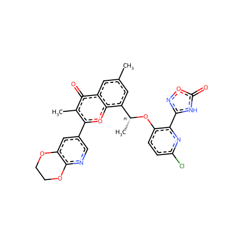 Cc1cc([C@@H](C)Oc2ccc(Cl)nc2-c2noc(=O)[nH]2)c2oc(-c3cnc4c(c3)OCCO4)c(C)c(=O)c2c1